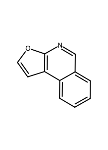 c1ccc2c(c1)cnc1occc12